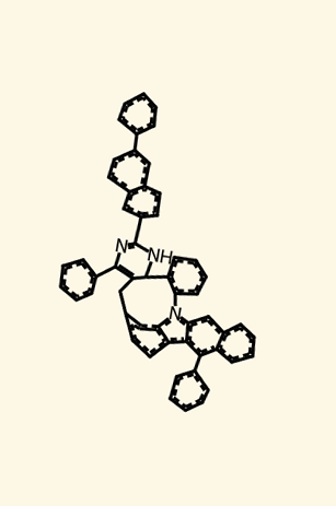 c1ccc(C2=C3Cc4ccc5c6c(-c7ccccc7)c7ccccc7cc6n(c5c4)-c4ccccc4C3NC(c3ccc4cc(-c5ccccc5)ccc4c3)=N2)cc1